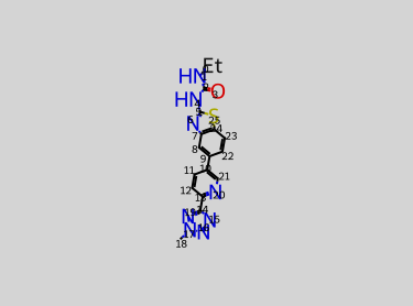 CCNC(=O)Nc1nc2cc(-c3ccc(-c4nnn(C)n4)nc3)ccc2s1